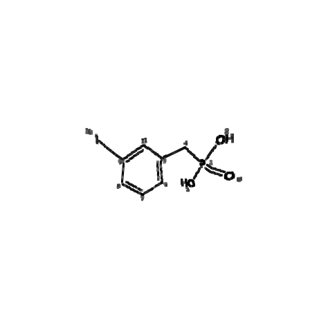 O=P(O)(O)Cc1cccc(I)c1